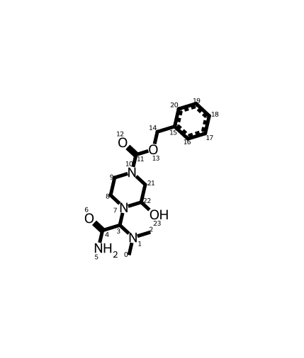 CN(C)C(C(N)=O)N1CCN(C(=O)OCc2ccccc2)CC1O